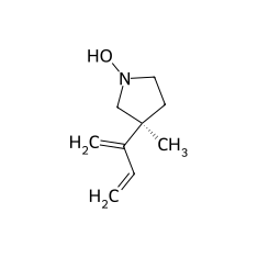 C=CC(=C)[C@]1(C)CCN(O)C1